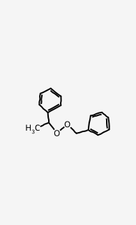 CC(OOCc1ccccc1)c1ccccc1